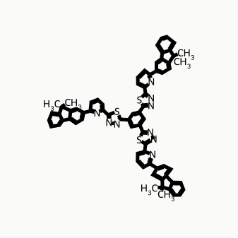 CC1(C)c2ccccc2-c2cc(-c3cccc(-c4nnc(-c5cc(-c6nnc(-c7cccc(-c8ccc9c(c8)C(C)(C)c8ccccc8-9)n7)s6)cc(-c6nnc(-c7cccc(-c8ccc9c(c8)C(C)(C)c8ccccc8-9)n7)s6)c5)s4)n3)ccc21